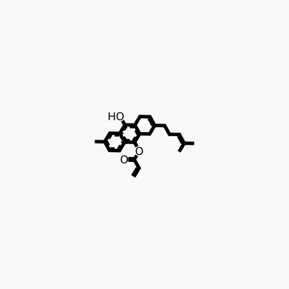 C=CC(=O)Oc1c2c(c(O)c3cc(C)ccc13)CC=C(CCC=C(C)C)C2